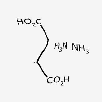 N.N.O=C(O)[CH]CC(=O)O